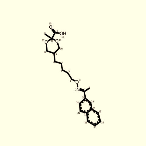 CC(=NOCCCCCC1COC(C)(C(=O)O)OC1)c1ccc2ccccc2c1